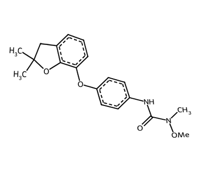 CON(C)C(=O)Nc1ccc(Oc2cccc3c2OC(C)(C)C3)cc1